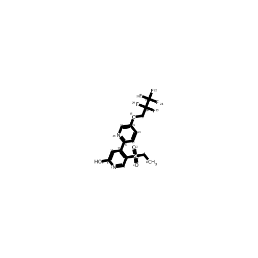 CCS(=O)(=O)c1cnc(O)cc1-c1ccc(OCC(F)(F)C(F)(F)F)cn1